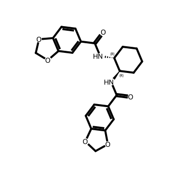 O=C(N[C@@H]1CCCC[C@H]1NC(=O)c1ccc2c(c1)OCO2)c1ccc2c(c1)OCO2